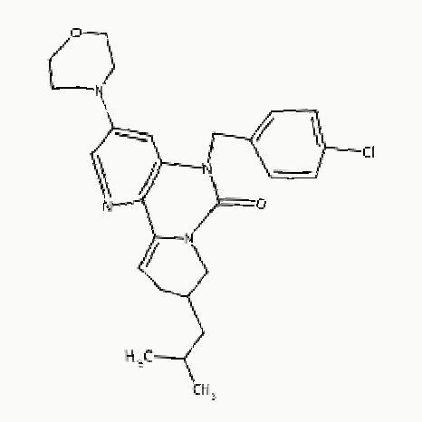 CC(C)CC1CC=C2c3ncc(N4CCOCC4)cc3N(Cc3ccc(Cl)cc3)C(=O)N2C1